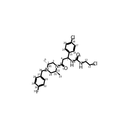 C[C@@H]1CN(C(=O)CC(NC(=O)NCCCl)c2ccc(Cl)cc2)[C@@H](C)CN1Cc1ccc(F)cc1